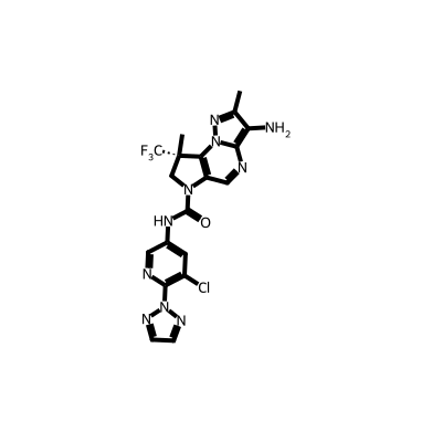 Cc1nn2c3c(cnc2c1N)N(C(=O)Nc1cnc(-n2nccn2)c(Cl)c1)C[C@]3(C)C(F)(F)F